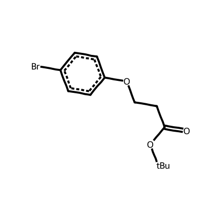 CC(C)(C)OC(=O)CCOc1ccc(Br)cc1